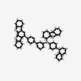 c1cc(-c2ccc(-c3cc4c5ccccc5oc4c4oc5ccccc5c34)cc2)cc(N(c2ccc(-c3cccc4ccccc34)cc2)c2cccc3c2sc2ccccc23)c1